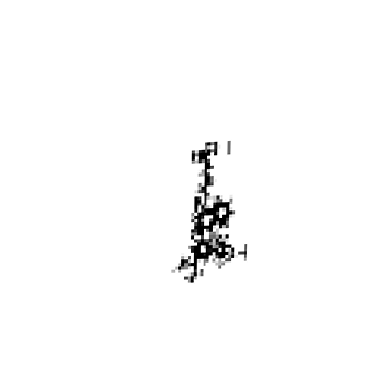 CCN(CC)c1cc(S(=O)(=O)O)c2nc3c4ccccc4/c(=N\CCCCCC(=O)O)cc-3oc2c1